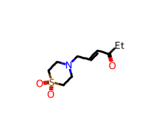 CCC(=O)/C=C/CN1CCS(=O)(=O)CC1